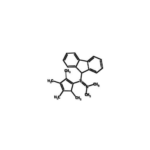 CC1=C(C)C(C)[C]([Ti]([CH]2c3ccccc3-c3ccccc32)=[Si](C)C)=C1C